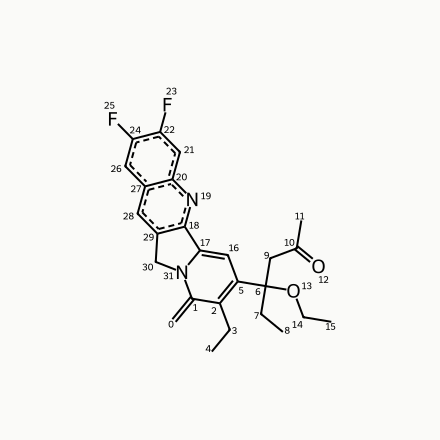 C=C1C(CC)=C(C(CC)(CC(C)=O)OCC)C=C2c3nc4cc(F)c(F)cc4cc3CN12